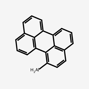 [AlH2][c]1ccc2cccc3c4cccc5cccc(c1c23)c54